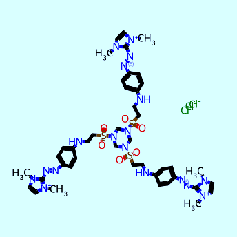 Cn1cc[n+](C)c1/N=N/c1ccc(NCCS(=O)(=O)N2CN(S(=O)(=O)CCNc3ccc(/N=N/c4n(C)cc[n+]4C)cc3)CN(S(=O)(=O)CCNc3ccc(/N=N/c4n(C)cc[n+]4C)cc3)C2)cc1.[Cl-].[Cl-].[Cl-]